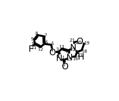 O=c1nc(OCc2cccc(F)c2)cc2n1C[C@@H]1CCOCN21